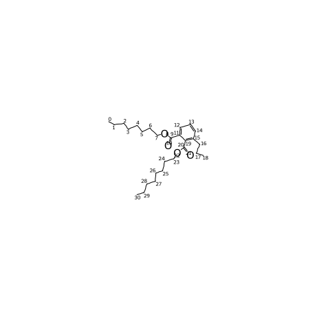 CCCCCCCCOC(=O)c1cccc(CCC)c1C(=O)OCCCCCCCC